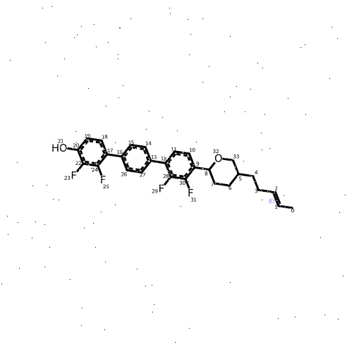 C/C=C/CCC1CCC(c2ccc(-c3ccc(-c4ccc(O)c(F)c4F)cc3)c(F)c2F)OC1